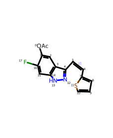 CC(=O)Oc1cc2c(/C=C\c3cccs3)n[nH]c2cc1F